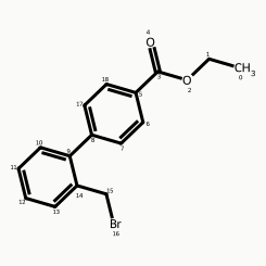 CCOC(=O)c1ccc(-c2ccccc2CBr)cc1